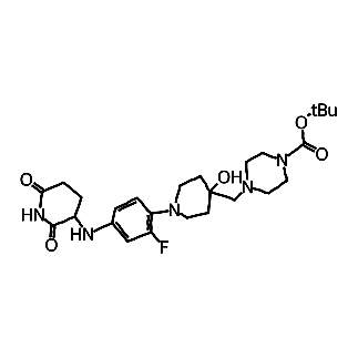 CC(C)(C)OC(=O)N1CCN(CC2(O)CCN(c3ccc(NC4CCC(=O)NC4=O)cc3F)CC2)CC1